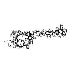 CCc1c2c(nc3ccc(OC(=O)N4CCN(CCNC5=C6C[C@@H](C)C[C@H](OC)[C@@H](O)[C@@H](C)/C=C(\C)[C@H](OC(N)=O)[C@@H](OC)/C=C\C=C(/C)C(=O)NC(=CC5=O)C6=O)CC4)cc13)-c1cc3c(c(=O)n1C2)COC(=O)[C@]3(O)CC